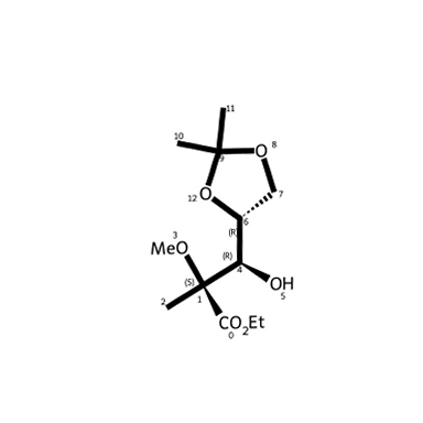 CCOC(=O)[C@@](C)(OC)[C@H](O)[C@H]1COC(C)(C)O1